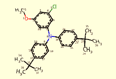 COc1cc(Cl)cc(N(c2ccc(C(C)(C)C)cc2)c2ccc(C(C)(C)C)cc2)c1